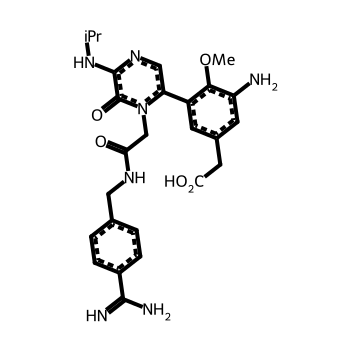 COc1c(N)cc(CC(=O)O)cc1-c1cnc(NC(C)C)c(=O)n1CC(=O)NCc1ccc(C(=N)N)cc1